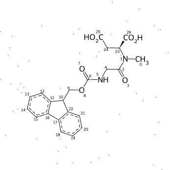 CN(C(=O)CNC(=O)OCC1c2ccccc2-c2ccccc21)[C@@H](CC(=O)O)C(=O)O